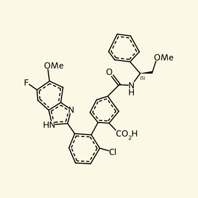 COC[C@@H](NC(=O)c1ccc(-c2c(Cl)cccc2-c2nc3cc(OC)c(F)cc3[nH]2)c(C(=O)O)c1)c1ccccc1